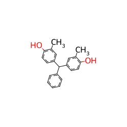 Cc1cc(C(c2ccccc2)c2ccc(O)c(C)c2)ccc1O